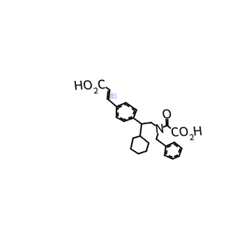 O=C(O)/C=C/c1ccc(C(CN(Cc2ccccc2)C(=O)C(=O)O)C2CCCCC2)cc1